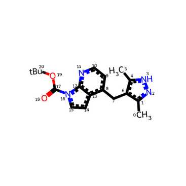 Cc1n[nH]c(C)c1Cc1ccnc2c1ccn2C(=O)OC(C)(C)C